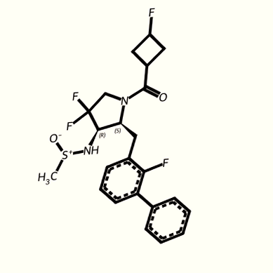 C[S+]([O-])N[C@@H]1[C@H](Cc2cccc(-c3ccccc3)c2F)N(C(=O)C2CC(F)C2)CC1(F)F